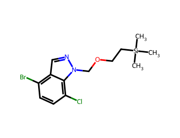 C[Si](C)(C)CCOCn1ncc2c(Br)ccc(Cl)c21